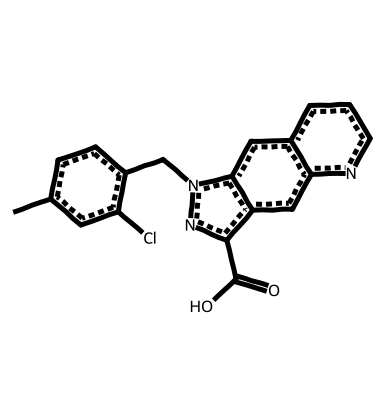 Cc1ccc(Cn2nc(C(=O)O)c3cc4ncccc4cc32)c(Cl)c1